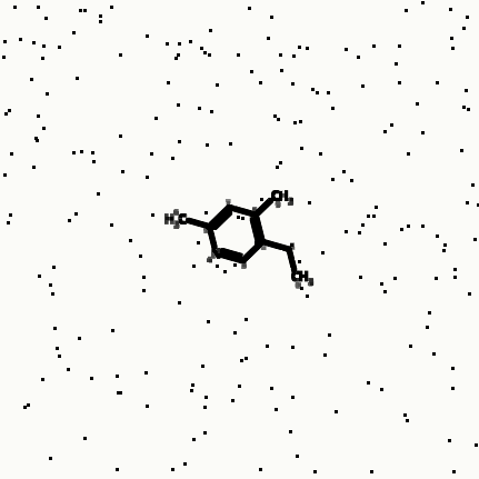 CCc1cnc(C)cc1C